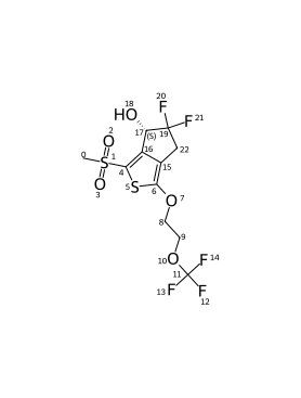 CS(=O)(=O)c1sc(OCCOC(F)(F)F)c2c1[C@H](O)C(F)(F)C2